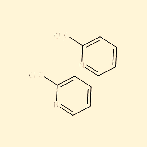 ClC(Cl)(Cl)c1ccccn1.ClC(Cl)(Cl)c1ccccn1